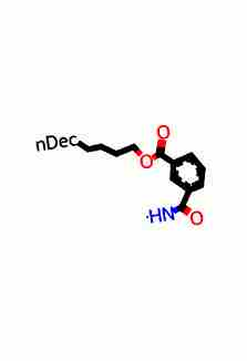 CCCCCCCCCCCCCCOC(=O)c1cccc(C([NH])=O)c1